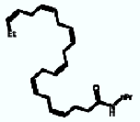 CC/C=C\C/C=C\C/C=C\C/C=C\C/C=C\C/C=C\CCC(=O)NCCC